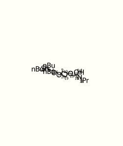 CCC[CH2][Sn](/[CH]=C/COCOc1ccc(OCC(O)CNC(C)C)cc1)([CH2]CCC)[CH2]CCC